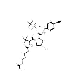 C#Cc1ccc([C@H](CO[Si](C)(C)C(C)(C)C)NC(=O)[C@@H]2C[C@@H](O)CN2C(=O)C(NC(=O)CCCCCC(=O)O)C(C)(C)C)cc1